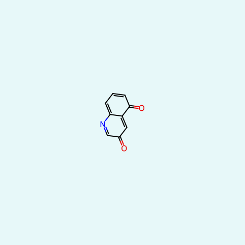 O=C1C=NC2=CC=CC(=O)C2=C1